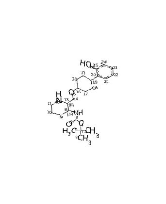 CC(C)(C)OC(=O)N[C@H]1CCCN[C@H]1COC1CCC(c2ccccc2O)CC1